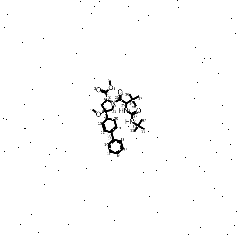 COC(=O)[C@@H]1C[C@@](OC)(C2C=CC(c3ccccc3)=CC2)CN1C(=O)C(NC(=O)NC(C)(C)C)C(C)(C)C